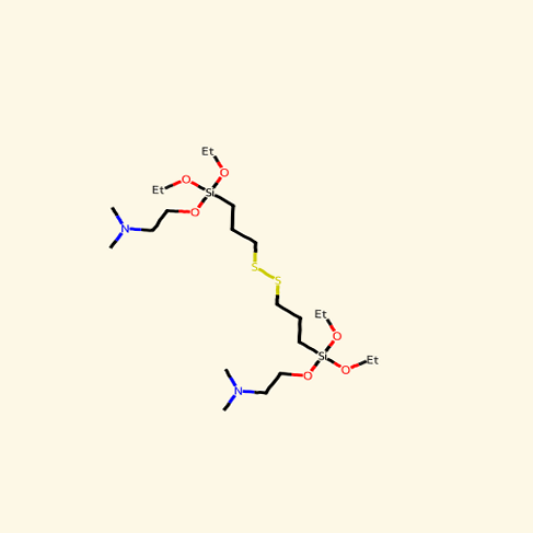 CCO[Si](CCCSSCCC[Si](OCC)(OCC)OCCN(C)C)(OCC)OCCN(C)C